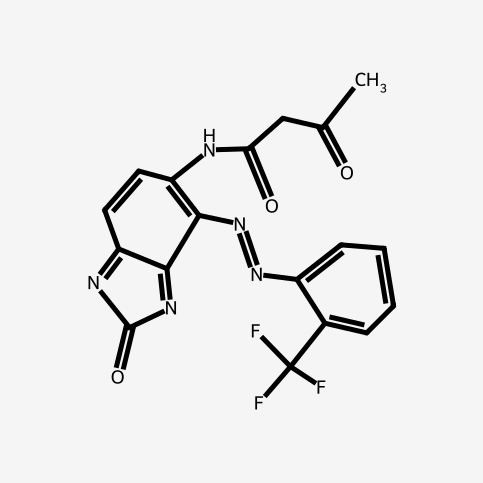 CC(=O)CC(=O)Nc1ccc2c(c1N=Nc1ccccc1C(F)(F)F)=NC(=O)N=2